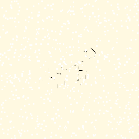 CC(C)(C)OC(=O)NCCN(CCN1C(=O)C=CC1=O)C(=O)OC(C)(C)C